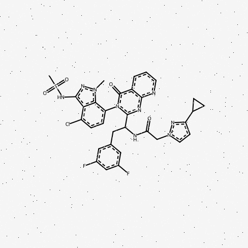 Cn1nc(NS(C)(=O)=O)c2c(Cl)ccc(-n3c(C(Cc4cc(F)cc(F)c4)NC(=O)Cn4ccc(C5CC5)n4)nc4ncccc4c3=O)c21